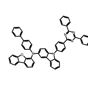 c1ccc(-c2ccc(N(c3ccc4c(c3)c3ccccc3n4-c3ccc(-c4nc(-c5ccccc5)nc(-c5ccccc5)n4)cc3)c3cccc4c3oc3ccccc34)cc2)cc1